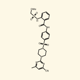 COCS(=O)(=O)Nc1ccccc1C(=O)Nc1ccc(S(=O)(=O)N2CCN(c3nc(C)cc(C#N)n3)CC2)cc1